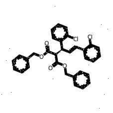 O=C(OCc1ccccc1)C(C(=O)OCc1ccccc1)[C@H](/C=C/c1ccccc1Cl)c1ccccc1Cl